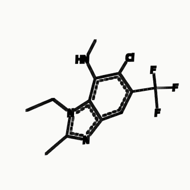 CCn1c(C)nc2cc(C(F)(F)F)c(Cl)c(NC)c21